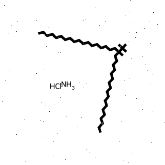 CCCCCCCCCCCCCCCCCCC(C)(CCCCCCCCCCCCCCCCCC)C(C)(C)C.Cl.N